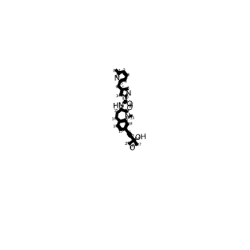 Cc1cccc(Cc2cnn(C(=O)NC3CCc4ccc(C#CC5(O)COC5)cc4N(C)C3=O)c2)n1